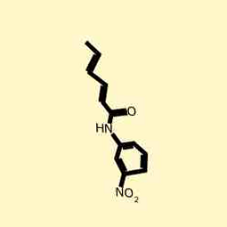 CC=CC=CC(=O)Nc1cccc([N+](=O)[O-])c1